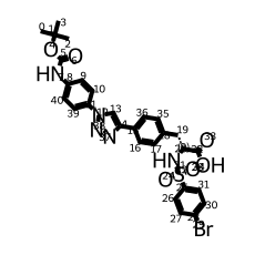 CC(C)(C)OC(=O)Nc1ccc(-n2cc(-c3ccc(C[C@@H](NS(=O)(=O)c4ccc(Br)cc4)C(=O)O)cc3)nn2)cc1